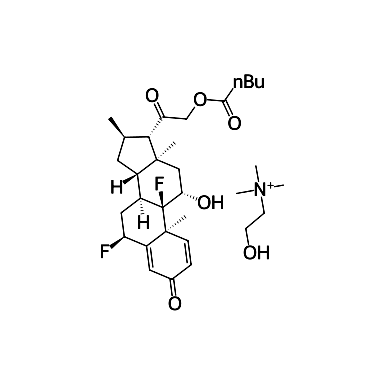 CCCCC(=O)OCC(=O)[C@H]1[C@H](C)C[C@H]2[C@@H]3C[C@H](F)C4=CC(=O)C=C[C@]4(C)[C@@]3(F)[C@@H](O)C[C@@]21C.C[N+](C)(C)CCO